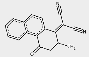 CC1CC(=O)c2c(ccc3ccccc23)C1=C(C#N)C#N